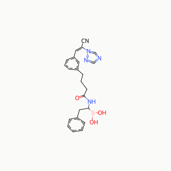 N#CC(=Cc1cccc(CCCC(=O)NC(Cc2ccccc2)B(O)O)c1)n1cncn1